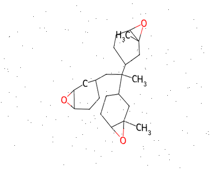 CC12CC(C(C)(CC3CCC4OC4C3)C3CCC4OC4(C)C3)CCC1O2